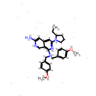 CCC1CCCN1c1cc2cc(N)ncc2c(N(Cc2ccc(OC)cc2)Cc2ccc(OC)cc2)n1